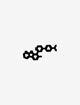 Cc1ccc2c(oc3ncccc32)c1-c1cc(-c2ccc(C(C)C)cc2)ccn1